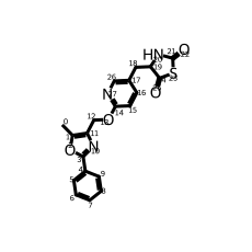 Cc1oc(-c2ccccc2)nc1COc1ccc(CC2NC(=O)SC2=O)cn1